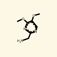 COc1cnc(CN)nc1OC